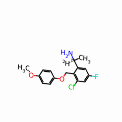 [2H][C@@](C)(N)c1cc(F)cc(Cl)c1COc1ccc(OC)cc1